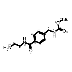 CC(C)(C)OC(=O)NCc1ccc(C(=O)NCCN)cc1